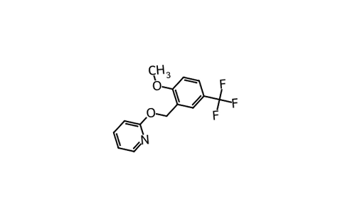 COc1ccc(C(F)(F)F)cc1COc1ccccn1